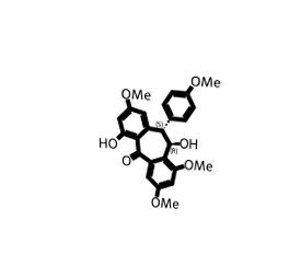 COc1ccc([C@H]2c3cc(OC)cc(O)c3C(=O)c3cc(OC)cc(OC)c3[C@@H]2O)cc1